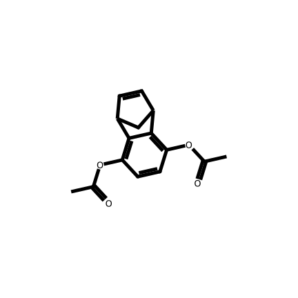 CC(=O)Oc1ccc(OC(C)=O)c2c1C1C=CC2C1